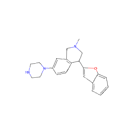 CN1Cc2cc(N3CCNCC3)ccc2C(c2cc3ccccc3o2)C1